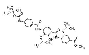 COC(=O)c1ccc(NC(=O)c2ccc(NC(=O)c3ccc(NC(=O)OC(C)(C)C)cc3)c(OC(C)C)c2O)c(OC(C)C)c1